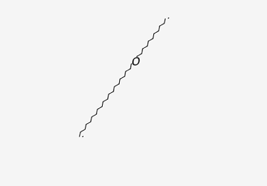 [CH2]CCCCCCCCCCCCCCCCCCCOCCCCCCCCCC[CH2]